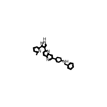 Cc1cccc(-c2n[nH]cc2-c2ccc3ncc(C4=CCC(NCc5ccccc5)CC4)cc3n2)n1